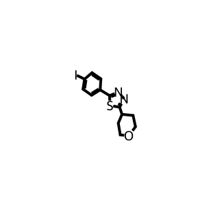 Ic1ccc(-c2nnc(C3CCOCC3)s2)cc1